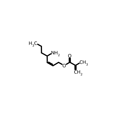 C=C(C)C(=O)OC/C=C\C(N)CCC